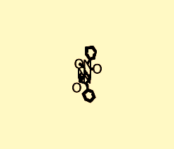 CC1CC2C(=O)N(c3ccccc3)C1n1c(=O)n(-c3ccccc3)c(=O)n12